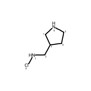 ClNCC1CCNC1